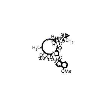 CC[C@@H]1C[C@@H](C)CC/C=C\[C@@H]2C[C@@]2(C(=O)NS(=O)(=O)C2(C)CC2)NC(=O)[C@@H]2C[C@@H](Oc3nccc4c(OC)cccc34)CN2C(=O)[C@H]1N(C(=O)O)C(C)(C)C